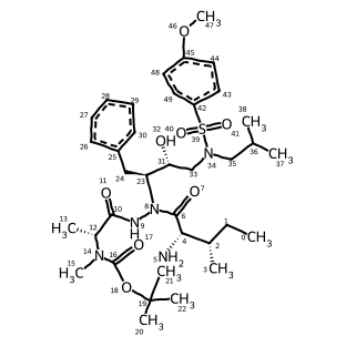 CC[C@H](C)[C@H](N)C(=O)N(NC(=O)[C@@H](C)N(C)C(=O)OC(C)(C)C)[C@@H](Cc1ccccc1)[C@H](O)CN(CC(C)C)S(=O)(=O)c1ccc(OC)cc1